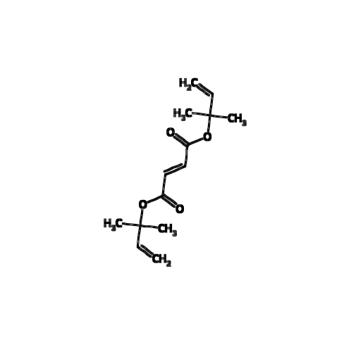 C=CC(C)(C)OC(=O)/C=C/C(=O)OC(C)(C)C=C